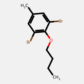 CCCCOc1c(Br)cc(C)cc1Br